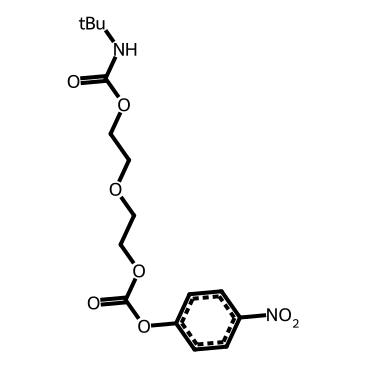 CC(C)(C)NC(=O)OCCOCCOC(=O)Oc1ccc([N+](=O)[O-])cc1